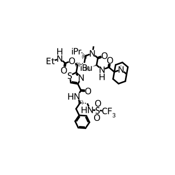 CCNC(=O)O[C@H](C[C@H](C(C)C)N(C)C(=O)C(NC(=O)C12CCCC(CCC1)N2C)[C@@H](C)CC)c1nc(C(=O)N[C@H](CNS(=O)(=O)C(F)(F)F)Cc2ccccc2)cs1